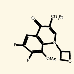 CCOC(=O)c1cn(C2COC2)c2c(OC)c(F)c(F)cc2c1=O